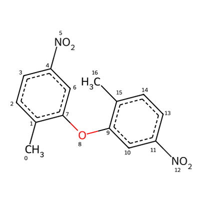 Cc1ccc([N+](=O)[O-])cc1Oc1cc([N+](=O)[O-])ccc1C